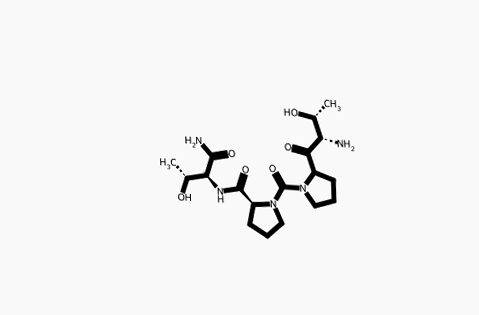 C[C@@H](O)[C@H](N)C(=O)C1CCCN1C(=O)N1CCC[C@H]1C(=O)N[C@H](C(N)=O)[C@@H](C)O